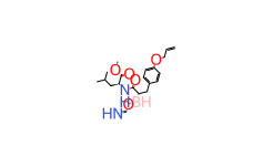 C=CCOc1ccc(C[C@H](BOC=N)C(=O)N[C@@H](CC(C)C)C(=O)OC)cc1